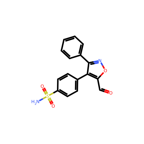 NS(=O)(=O)c1ccc(-c2c(-c3ccccc3)noc2C=O)cc1